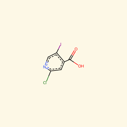 O=C(O)c1cc(Cl)ncc1I